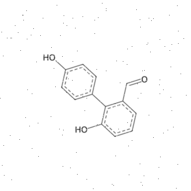 O=Cc1cccc(O)c1-c1ccc(O)cc1